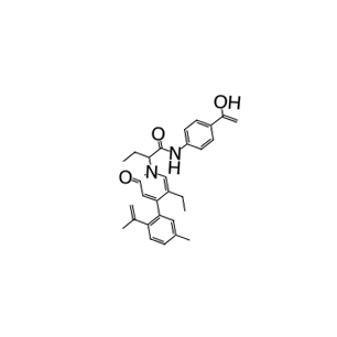 C=C(O)c1ccc(NC(=O)C(CC)N(C)/C=C(CC)\C(=C/C=O)c2cc(C)ccc2C(=C)C)cc1